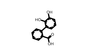 O=C(O)c1ccccc1-c1cccc(O)c1O